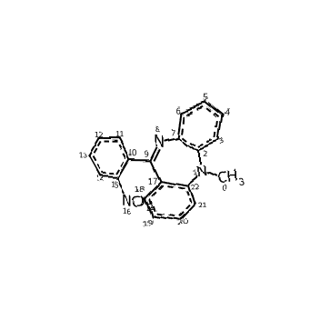 CN1c2ccccc2N=C(c2ccccc2[N+](=O)[O-])c2ccccc21